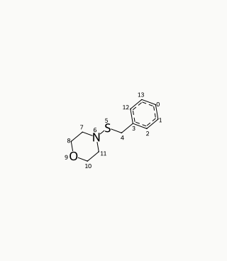 c1ccc(CSN2CCOCC2)cc1